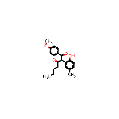 CCCCC(=O)C(C(=O)c1ccc(OC)cc1)c1cc(C)ccc1O